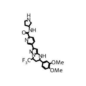 COc1ccc(C2CC(C(F)(F)F)n3nc(-c4ccc(C(=O)NC5CCNC5)nc4)cc3N2)cc1OC